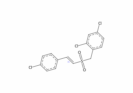 O=S(=O)(/C=C/c1ccc(Cl)cc1)Cc1ccc(Cl)cc1Cl